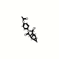 CC(=O)Oc1ccc(N2C(=O)C3C4CC(C5CC54)C3C2=O)cc1